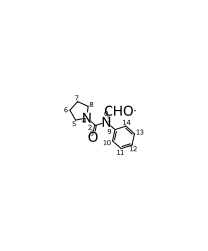 O=[C]N(C(=O)N1CCCC1)c1ccccc1